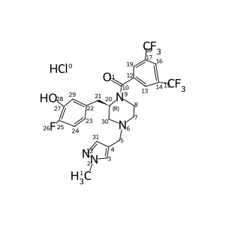 Cl.Cn1cc(CN2CCN(C(=O)c3cc(C(F)(F)F)cc(C(F)(F)F)c3)[C@H](Cc3ccc(F)c(O)c3)C2)cn1